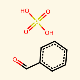 O=Cc1ccccc1.O=S(=O)(O)O